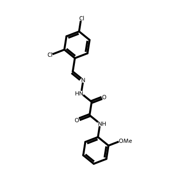 COc1ccccc1NC(=O)C(=O)N/N=C/c1ccc(Cl)cc1Cl